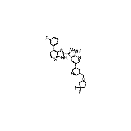 Fc1cccc(-c2ccnc3[nH]c(-c4n[nH]c5ncc(-c6cncc(CN7CCC(F)(F)C7)c6)cc45)nc23)c1